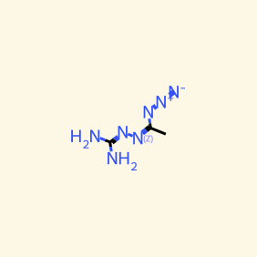 C/C(N=[N+]=[N-])=N/N=C(N)N